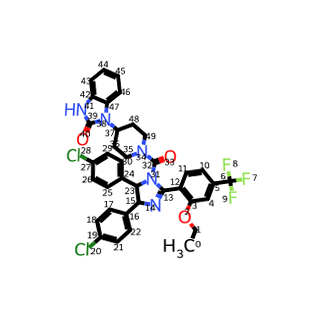 CCOc1cc(C(F)(F)F)ccc1C1=NC(c2ccc(Cl)cc2)C(c2ccc(Cl)cc2)N1C(=O)N1CCC(n2c(=O)[nH]c3ccccc32)CC1